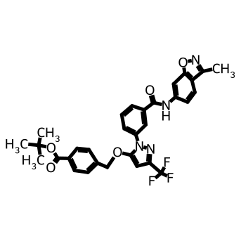 Cc1noc2cc(NC(=O)c3cccc(-n4nc(C(F)(F)F)cc4OCc4ccc(C(=O)OC(C)(C)C)cc4)c3)ccc12